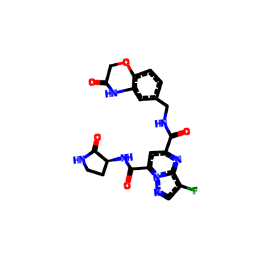 O=C1COc2ccc(CNC(=O)c3cc(C(=O)N[C@H]4CCNC4=O)n4ncc(F)c4n3)cc2N1